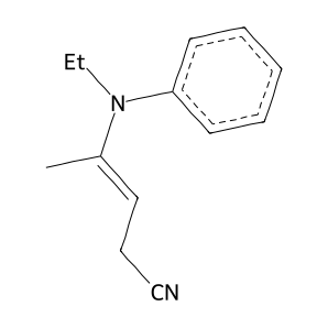 CCN(C(C)=CCC#N)c1ccccc1